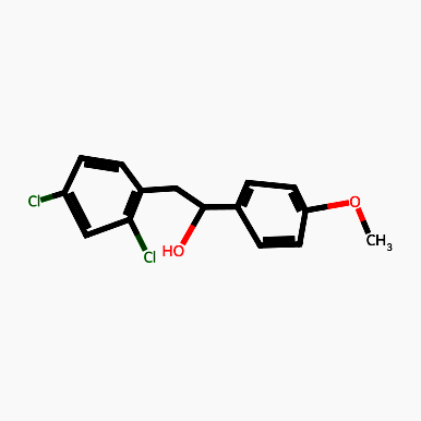 COc1ccc(C(O)Cc2ccc(Cl)cc2Cl)cc1